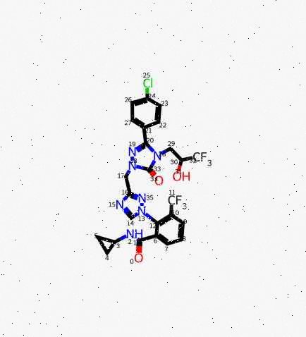 O=C(NC1CC1)c1cccc(C(F)(F)F)c1-n1cnc(Cn2nc(-c3ccc(Cl)cc3)n(CC(O)C(F)(F)F)c2=O)n1